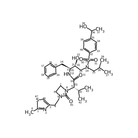 Cc1nc(CN2CCN([C@H](C(=O)N[C@@H](Cc3ccccc3)[C@@H](O)CN(CC(C)C)S(=O)(=O)c3ccc(C(C)O)cc3)C(C)C)C2=O)cs1